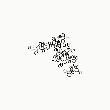 CCN(CC)c1c(C)cc(C)c(NS(=O)(=O)c2cc(Cl)cc(Cl)c2O)c1C.Cc1cc(C)c(N2CCCC2)c(C)c1NS(=O)(=O)c1cc(Cl)cc(Cl)c1NS(C)(=O)=O.Cc1cccc(C(=O)Nc2c(C)cc(C)c(N3CCCC3)c2C)c1C.O=S(=O)(Nc1ccc(N2CCCC2)cc1)c1cc(Cl)cc(Cl)c1O.O=S(=O)(Nc1ccccc1N1CCCC1)c1cc(Cl)cc(Cl)c1O